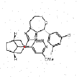 COc1cc(N2C[C@H]3CC[C@@H](C2)C3Nc2nc3n(n2)CCCO[C@@H]3c2cc(F)cc(Cl)c2)cnn1